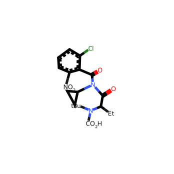 CCC(C(=O)N(C(=O)c1c(Cl)cccc1[N+](=O)[O-])C1CC1)N(C(=O)O)C(C)(C)C